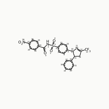 O=C(NS(=O)(=O)c1ccc(N2N=C(C(F)(F)F)CC2c2ccccc2)cc1)c1ccc([N+](=O)[O-])cc1